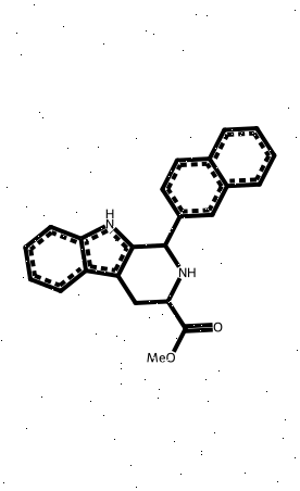 COC(=O)C1Cc2c([nH]c3ccccc23)C(c2ccc3ccccc3c2)N1